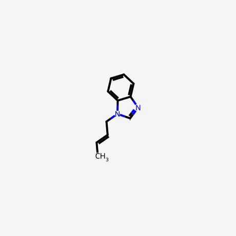 CC=CCn1[c]nc2ccccc21